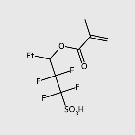 C=C(C)C(=O)OC(CC)C(F)(F)C(F)(F)S(=O)(=O)O